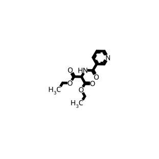 CCOC(=O)C(NC(=O)c1cccnc1)C(=O)OCC